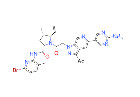 C=C[C@@H]1[C@@H](C)C[C@@H](C(=O)Nc2nc(Br)ccc2C)N1C(=O)Cn1nc(C(C)=O)c2cc(-c3cnc(N)nc3)ncc21